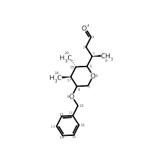 C[C@H](CC=O)C1OCC(OCc2ccccc2)[C@@H](C)[C@@H]1C